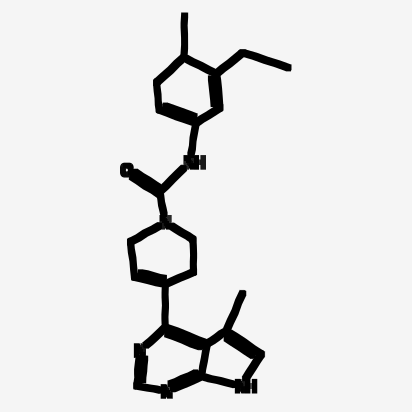 CCC1=CC(NC(=O)N2CC=C(c3ncnc4[nH]cc(C)c34)CC2)=CCC1C